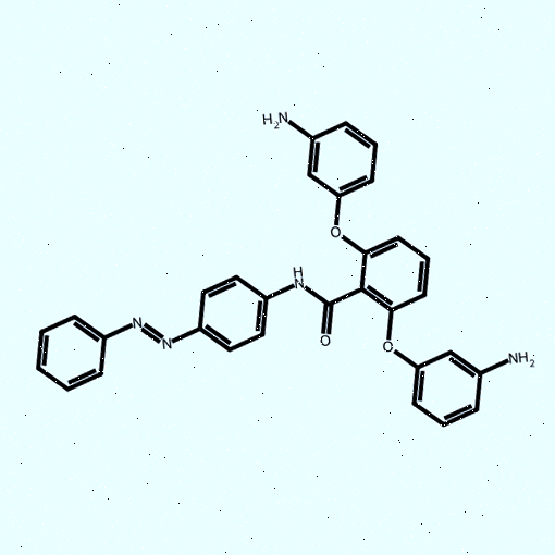 Nc1cccc(Oc2cccc(Oc3cccc(N)c3)c2C(=O)Nc2ccc(N=Nc3ccccc3)cc2)c1